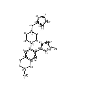 CC(=O)N1CCc2nc(N3CCN(Cc4ccn[nH]4)CC3)c(-c3cnn(C)c3)nc2C1